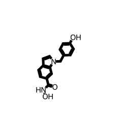 O=C(NO)c1ccc2ccn(Cc3ccc(O)cc3)c2c1